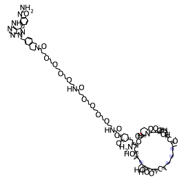 CO[C@H]1C[C@@H]2CC[C@@H](C)[C@@](O)(O2)C(=O)C(=O)N2CCCC[C@H]2C(=O)O[C@H]([C@H](N)C[C@@H]2CC[C@@H](OC(=O)NCCOCCOCCOCCOCCC(=O)NCCOCCOCCOCCOCCC(=O)N3CCc4cc(Cn5nc(-c6ccc7oc(N)nc7c6)c6c(N)ncnc65)ccc4C3)[C@H](OC)C2)C[C@@H](O)[C@H](C)/C=C(\C)[C@@H](O)[C@@H](O)C(=O)[C@H](C)C[C@H](C)/C=C/C=C/C=C/1C